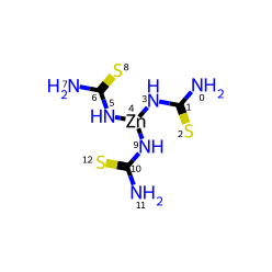 NC(=S)[NH][Zn]([NH]C(N)=S)[NH]C(N)=S